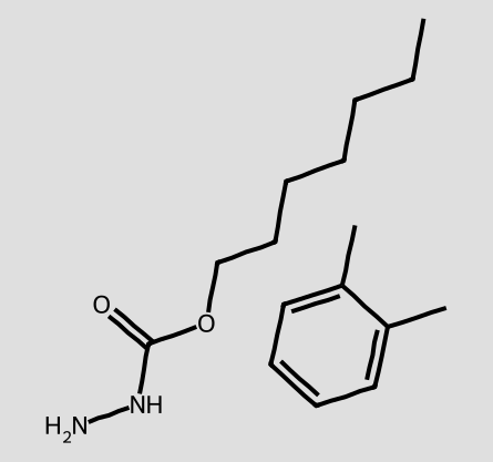 CCCCCCCOC(=O)NN.Cc1ccccc1C